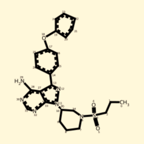 CCCS(=O)(=O)N1CCC[C@@H](n2nc(-c3ccc(Oc4ccccc4)cc3)c3c(N)ncnc32)C1